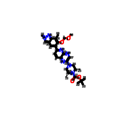 COCOc1c(-c2ccc3nc(N4C[C@@H](C)N(C(=O)OC(C)(C)C)[C@@H](C)C4)cnc3n2)cc2cn(C)nc2c1C